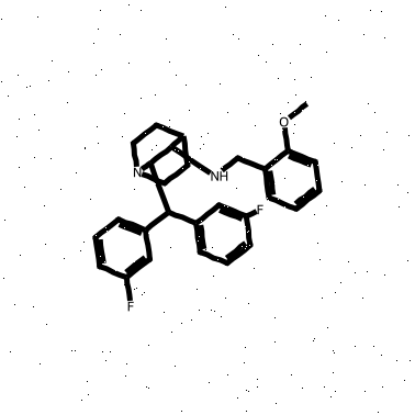 COc1ccccc1CNC1C2CCN(CC2)C1C(c1cccc(F)c1)c1cccc(F)c1